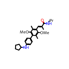 COc1c(C)c(-c2ccc(NC3CCCC3)cc2)c(OC)c(C)c1/C=C(\C)C(=O)NC(C)C